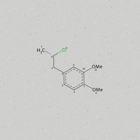 COc1ccc(C[C@H](C)Cl)cc1OC